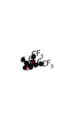 O=C1c2cccc(-n3c4ccc(-c5ccc(C(F)(F)F)cc5C(F)(F)F)cc4c4cc(-c5ccc(C(F)(F)F)cc5C(F)(F)F)ccc43)c2C(=O)N1c1ccc(-c2ccccc2)cc1-c1ccccc1